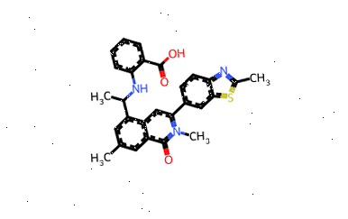 Cc1cc(C(C)Nc2ccccc2C(=O)O)c2cc(-c3ccc4nc(C)sc4c3)n(C)c(=O)c2c1